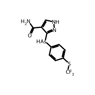 NC(=O)c1c[nH]nc1[AsH]c1ccc(SC(F)(F)F)cc1